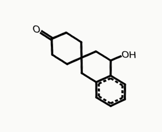 O=C1CCC2(CC1)Cc1ccccc1C(O)C2